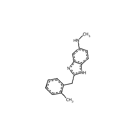 CNc1ccc2[nH]c(Cc3ccccc3C)nc2c1